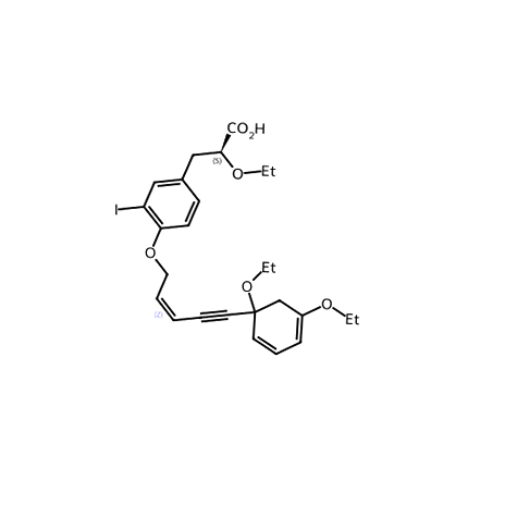 CCOC1=CC=CC(C#C/C=C\COc2ccc(C[C@H](OCC)C(=O)O)cc2I)(OCC)C1